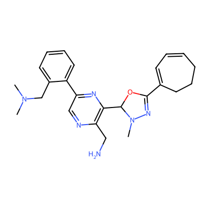 CN(C)Cc1ccccc1-c1cnc(CN)c(C2OC(C3=CC=CCCC3)=NN2C)n1